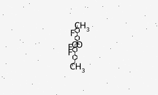 CCCc1ccc(-c2ccc(OC(=O)c3ccc(-c4ccc(C)cc4F)cc3)c(F)c2F)cc1